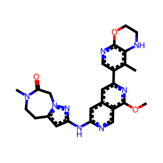 COc1nc(-c2cnc3c(c2C)NCCO3)cc2cc(Nc3cc4n(n3)CC(=O)N(C)CC4)ncc12